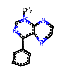 C[n+]1cnc(-c2ccccc2)c2nccnc21